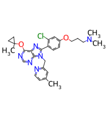 Cc1ccnc(Cn2c(-c3ccc(OCCCN(C)C)cc3Cl)nc3c(OC4(C)CC4)ncnc32)c1